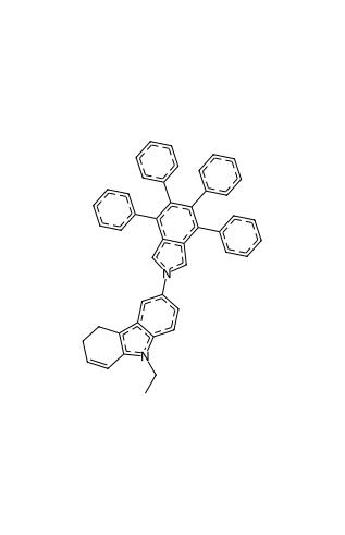 CCn1c2c(c3cc(-n4cc5c(-c6ccccc6)c(-c6ccccc6)c(-c6ccccc6)c(-c6ccccc6)c5c4)ccc31)CCC=C2